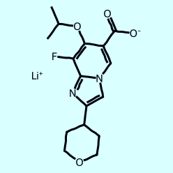 CC(C)Oc1c(C(=O)[O-])cn2cc(C3CCOCC3)nc2c1F.[Li+]